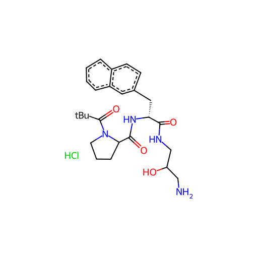 CC(C)(C)C(=O)N1CCCC1C(=O)N[C@H](Cc1ccc2ccccc2c1)C(=O)NCC(O)CN.Cl